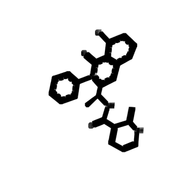 C=C1NC=CC=C1C(=O)N[C@@H](C)c1cc2cccc(Cl)c2c(=O)n1-c1ccccc1